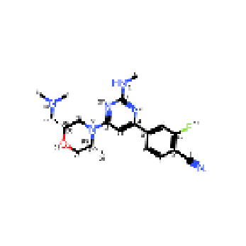 CNc1nc(-c2ccc(C#N)c(F)c2)cc(N2C[C@@H](CN(C)C)OC[C@H]2C)n1